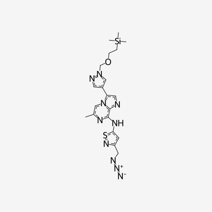 Cc1cn2c(-c3cnn(COCC[Si](C)(C)C)c3)cnc2c(Nc2cc(CN=[N+]=[N-])ns2)n1